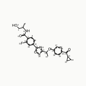 CC(CO)NC(=O)c1ccc(-c2nc(C(C)Oc3ccc(C(=O)C4CC4)nc3)no2)cc1F